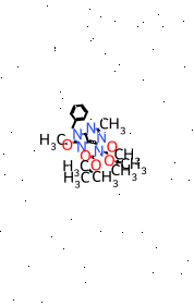 COc1nc2c(N(C(=O)OC(C)(C)C)C(=O)OC(C)(C)C)nc(C)nc2n1Cc1ccccc1